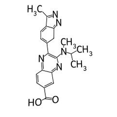 CC1=NN=C2CC(c3nc4ccc(C(=O)O)cc4nc3N(C)C(C)C)=CC=C12